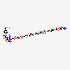 CC(C)[C@H](NC(=O)CCOCCOCCOCCOCCOCCOCCOCCOCCOCCOCCOCCOCCN=[N+]=[N-])C(=O)N[C@@H](C)C(=O)Nc1ccc(CO)cc1